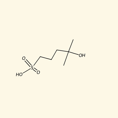 CC(C)(O)CCCS(=O)(=O)O